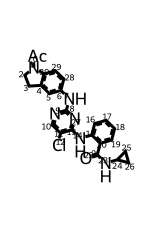 CC(=O)N1CCc2cc(Nc3ncc(Cl)c(Nc4ccccc4C(=O)NC4CC4)n3)ccc21